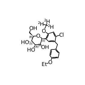 [2H]C([2H])([2H])Oc1cc(Cl)c(Cc2ccc(OCC)cc2)cc1[C@@H]1O[C@H](CO)[C@@H](O)[C@H](O)[C@H]1O